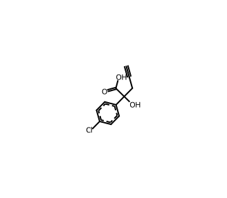 C#CCC(O)(C(=O)O)c1ccc(Cl)cc1